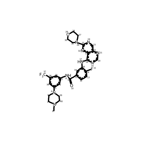 CN1CCN(c2cc(NC(=O)c3ccc(F)c(Nc4ncnc5cnc(N6CCOCC6)nc45)c3)cc(C(F)(F)F)c2)CC1